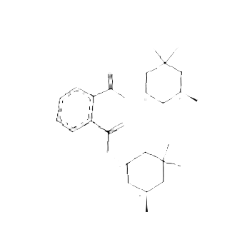 C[C@H]1C[C@H](OC(=O)c2ccccc2C(=O)O[C@H]2C[C@H](C)CC(C)(C)C2)CC(C)(C)C1